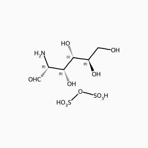 N[C@@H](C=O)[C@@H](O)[C@H](O)[C@H](O)CO.O=S(=O)(O)OS(=O)(=O)O